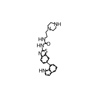 O=C(NCCN1CCNCC1)Nc1nc2ccc(-c3cccc4cc[nH]c34)cc2s1